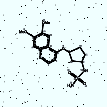 COc1cc2nccc(OC3CCC(NS(N)(=O)=O)C3)c2cc1OC